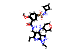 CCc1nc2c(cnn2CC)c(NC2CCOCC2)c1CNC(=O)c1cc(S(=O)(=O)NC2CCC2)ccc1OC